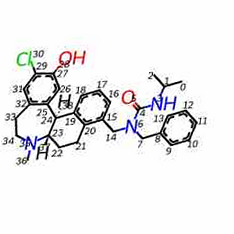 CC(C)NC(=O)N(Cc1ccccc1)Cc1cccc2c1CC[C@H]1[C@H]2c2cc(O)c(Cl)cc2CCN1C